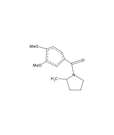 COc1ccc(C(=O)N2CCCC2C)cc1OC